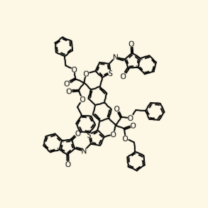 O=C(OCc1ccccc1)C1(C(=O)OCc2ccccc2)Oc2cc(N=c3c(=O)c4ccccc4c3=O)sc2C2=CC3C=C4C(=CC3C=C21)c1sc(N=c2c(=O)c3ccccc3c2=O)cc1OC4(C(=O)OCc1ccccc1)C(=O)OCc1ccccc1